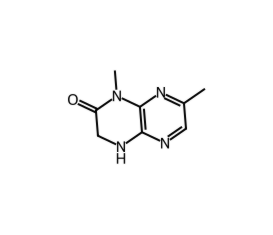 Cc1cnc2c(n1)N(C)C(=O)CN2